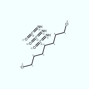 ClCCCCCCCCl.N=C=O.N=C=O.N=C=O